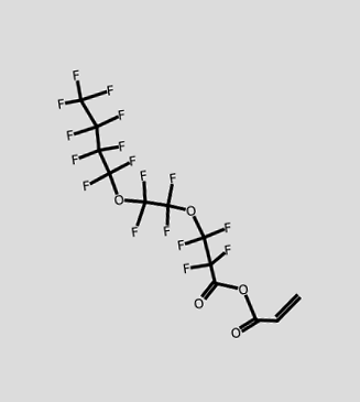 C=CC(=O)OC(=O)C(F)(F)C(F)(F)OC(F)(F)C(F)(F)OC(F)(F)C(F)(F)C(F)(F)C(F)(F)F